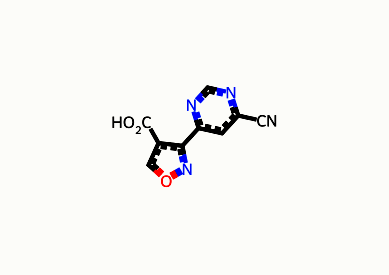 N#Cc1cc(-c2nocc2C(=O)O)ncn1